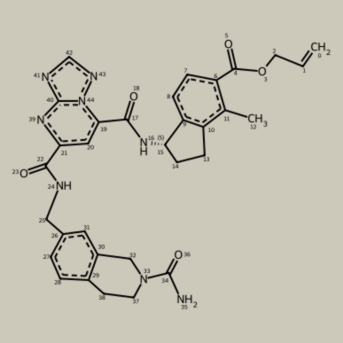 C=CCOC(=O)c1ccc2c(c1C)CC[C@@H]2NC(=O)c1cc(C(=O)NCc2ccc3c(c2)CN(C(N)=O)CC3)nc2ncnn12